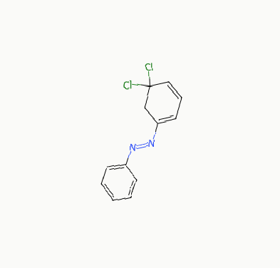 ClC1(Cl)C=CC=C(N=Nc2ccccc2)C1